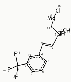 C[SiH](C=Cc1cccc(C(F)(F)F)c1)[CH2][Mg][Cl]